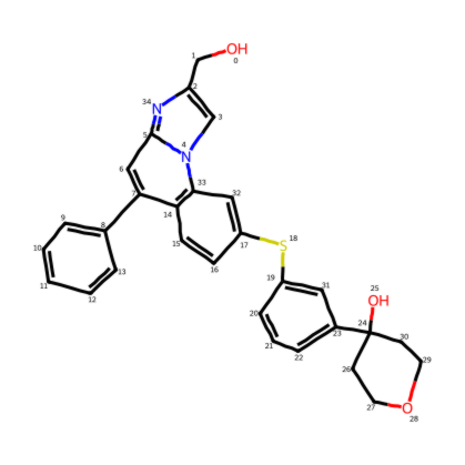 OCc1cn2c(cc(-c3ccccc3)c3ccc(Sc4cccc(C5(O)CCOCC5)c4)cc32)n1